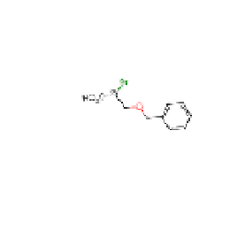 O=C(O)[C@H](Br)COCc1ccccc1